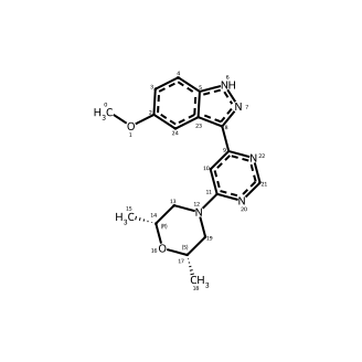 COc1ccc2[nH]nc(-c3cc(N4C[C@@H](C)O[C@@H](C)C4)ncn3)c2c1